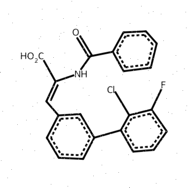 O=C(O)C(=Cc1cccc(-c2cccc(F)c2Cl)c1)NC(=O)c1ccccc1